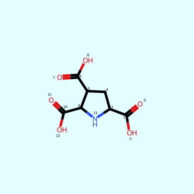 O=C(O)C1CC(C(=O)O)C(C(=O)O)N1